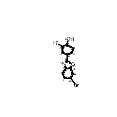 Oc1ccc(-c2nc3ccc(Br)cc3o2)cc1F